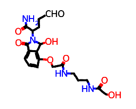 NC(=O)C(CCC=O)N1C(=O)c2cccc(OCC(=O)NCCCNC(=O)CO)c2C1O